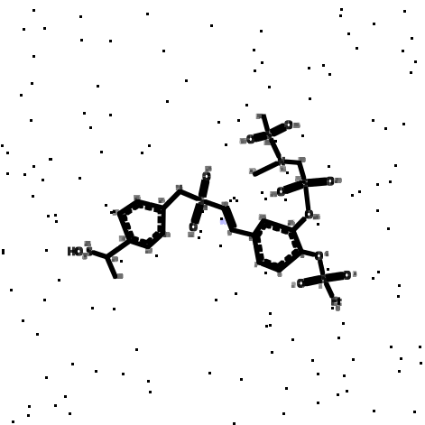 CCS(=O)(=O)Oc1ccc(/C=C/S(=O)(=O)Cc2ccc(C(C)S(=O)(=O)O)cc2)cc1OS(=O)(=O)CN(C)S(C)(=O)=O